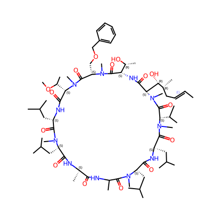 C/C=C/C[C@@H](C)[C@@H](O)[C@H]1C(=O)N[C@@H]([C@@H](C)O)C(=O)N(C)[C@@H](COCc2ccccc2)C(=O)N(C)[C@@H](C(C)OC)C(=O)N[C@@H](CC(C)C)C(=O)N(C)[C@@H](CC(C)C)C(=O)N[C@@H](C)C(=O)NC(C)C(=O)N(C)[C@@H](CC(C)C)C(=O)N[C@@H](CC(C)C)C(=O)N(C)[C@@H](C(C)C)C(=O)N1C